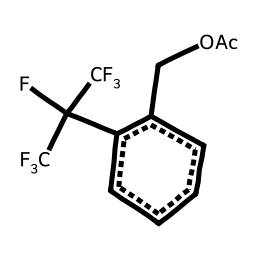 CC(=O)OCc1ccccc1C(F)(C(F)(F)F)C(F)(F)F